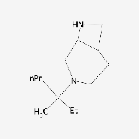 CCCC(C)(CC)N1CCC2CNC2C1